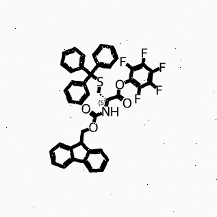 O=C(N[C@H](CSC(c1ccccc1)(c1ccccc1)c1ccccc1)C(=O)Oc1c(F)c(F)c(F)c(F)c1F)OCC1c2ccccc2-c2ccccc21